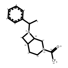 CC(c1ccccc1)N1CC2CCN(C(=O)C(F)(F)F)CC21